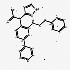 NC(=O)C(c1cc[nH]n1)c1ccc(-c2ccccc2)nc1NCCc1ccccn1